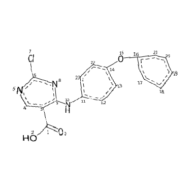 O=C(O)c1cnc(Cl)nc1Nc1ccc(Oc2ccccc2)cc1